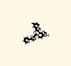 Cc1ccn2nc([C@H]3c4nc[nH]c4CCN3C(=O)c3nnc(-c4ccccn4)o3)cc2c1